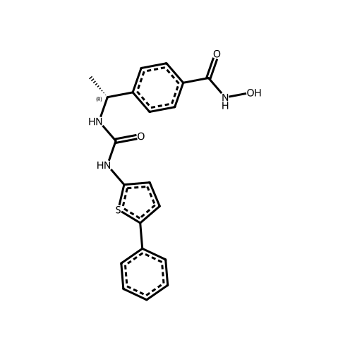 C[C@@H](NC(=O)Nc1ccc(-c2ccccc2)s1)c1ccc(C(=O)NO)cc1